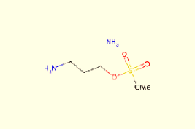 COS(=O)(=O)OCCCN.N